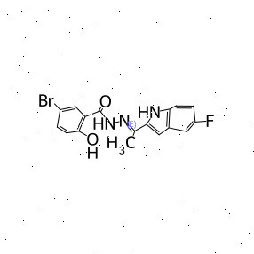 C/C(=N\NC(=O)c1cc(Br)ccc1O)c1cc2cc(F)ccc2[nH]1